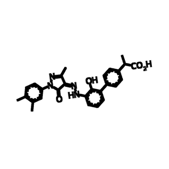 CC1=NN(c2ccc(C)c(C)c2)C(=O)/C1=N\Nc1cccc(-c2ccc(C(C)C(=O)O)cc2)c1O